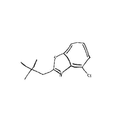 CC(C)(C)Cc1nc2c(Cl)cccc2s1